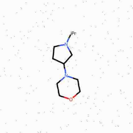 CC(C)N1CCC(N2CCOCC2)C1